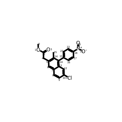 COC(=O)Cc1cc2ccc(Cl)cc2c(-c2ccc([N+](=O)[O-])cc2)c1C